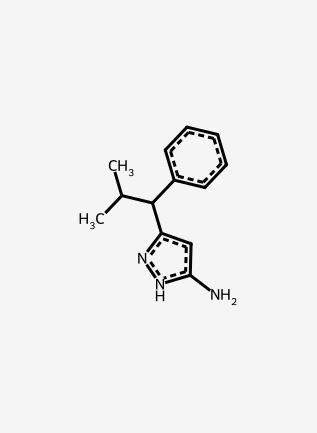 CC(C)C(c1ccccc1)c1cc(N)[nH]n1